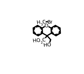 CBr.O=C(O)C1(CO)c2ccccc2Oc2ccccc21